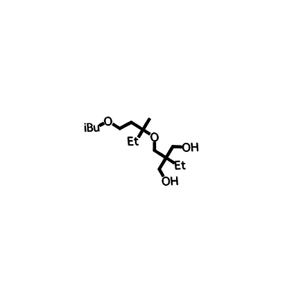 CCC(C)OCCC(C)(CC)OCC(CC)(CO)CO